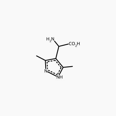 Cc1n[nH]c(C)c1C(N)C(=O)O